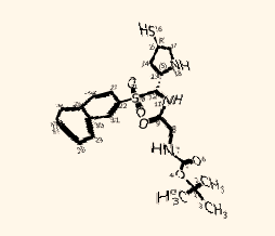 CC(C)(C)OC(=O)NCC(=O)NC([C@@H]1C[C@@H](S)CN1)S(=O)(=O)c1ccc2ccccc2c1